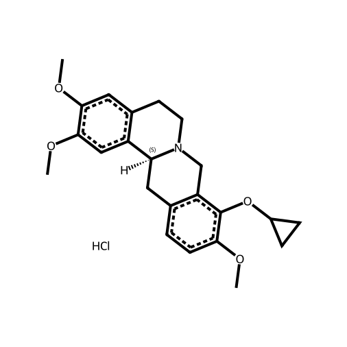 COc1cc2c(cc1OC)[C@@H]1Cc3ccc(OC)c(OC4CC4)c3CN1CC2.Cl